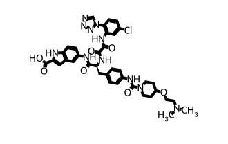 CN(C)CCOC1CCN(C(=O)Nc2ccc(C[C@H](NC(=O)C(=O)Nc3cc(Cl)ccc3-n3cnnn3)C(=O)Nc3ccc4[nH]c(C(=O)O)cc4c3)cc2)CC1